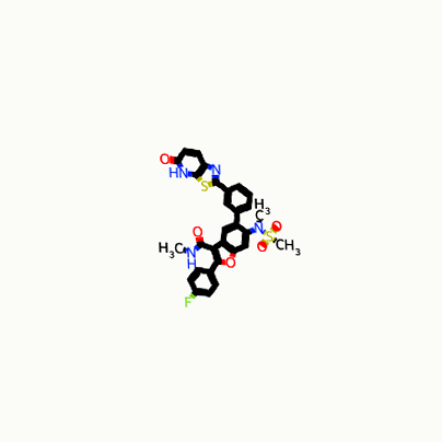 CNC(=O)c1c(-c2ccc(F)cc2)oc2cc(N(C)S(C)(=O)=O)c(-c3cccc(-c4nc5ccc(=O)[nH]c5s4)c3)cc12